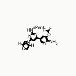 CCCCCNc1nc(-c2cnc(N)c(OC(F)F)c2)cc(N2C[C@@H]3C[C@H]2CO3)n1